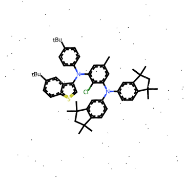 Cc1cc(N(c2ccc3c(c2)C(C)(C)CC3(C)C)c2ccc3c(c2)C(C)(C)CC3(C)C)c(Cl)c(N(c2ccc(C(C)(C)C)cc2)c2csc3ccc(C(C)(C)C)cc23)c1